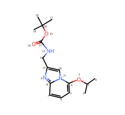 CC(C)Oc1cccc2nc(CNC(=O)OC(C)(C)C)cn12